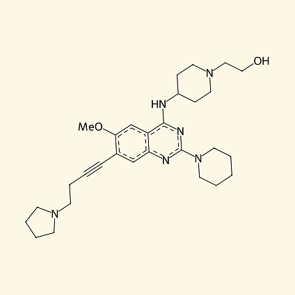 COc1cc2c(NC3CCN(CCO)CC3)nc(N3CCCCC3)nc2cc1C#CCCN1CCCC1